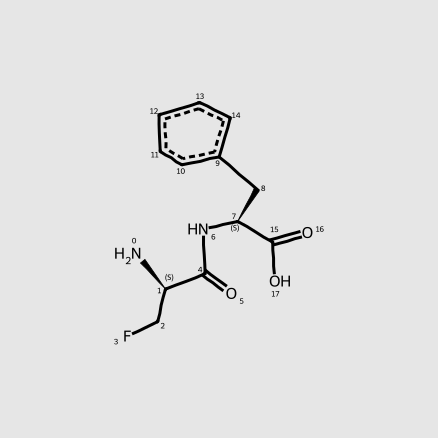 N[C@H](CF)C(=O)N[C@@H](Cc1ccccc1)C(=O)O